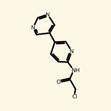 O=C(CCl)Nc1ccc(-c2cncnc2)cn1